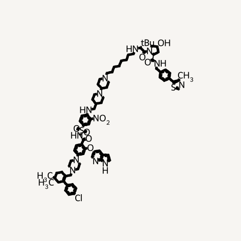 Cc1ncsc1-c1ccc(CNC(=O)[C@@H]2C[C@@H](O)CN2C(=O)[C@@H](NCCCCCCCCN2CCC(N3CCC(CNc4ccc(S(=O)(=O)NC(=O)c5ccc(N6CCN(CC7=C(c8ccc(Cl)cc8)CC(C)(C)CC7)CC6)cc5Oc5cnc6[nH]ccc6c5)cc4[N+](=O)[O-])CC3)CC2)C(C)(C)C)cc1